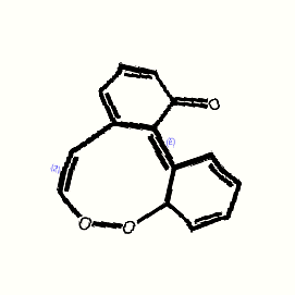 O=C1C=CC=C2/C=C\OOC3C=CC=C/C3=C\12